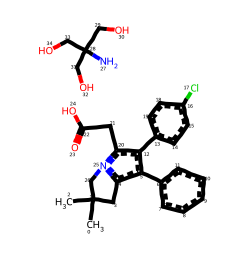 CC1(C)Cc2c(-c3ccccc3)c(-c3ccc(Cl)cc3)c(CC(=O)O)n2C1.NC(CO)(CO)CO